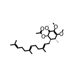 COC1=C(OC)[C@H](C)[C@@H](C/C=C(\C)CC/C=C(\C)CCC=C(C)C)[C@@H](OC(C)=O)C1=O